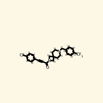 O=C(C#Cc1ccc(Cl)cc1)N1CC2(CCN(Cc3ccc(C(F)(F)F)cc3)CC2)C1